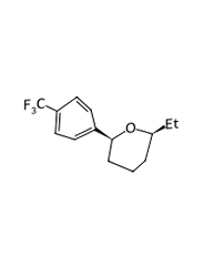 CC[C@H]1CCC[C@@H](c2ccc(C(F)(F)F)cc2)O1